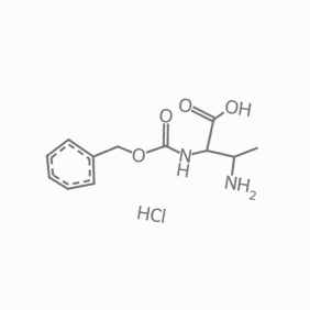 CC(N)C(NC(=O)OCc1ccccc1)C(=O)O.Cl